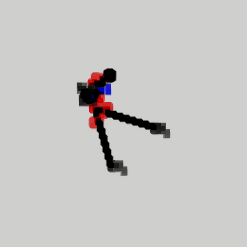 CCCCCCCCCCCCCCCC(=O)OCC(COC(=O)CCCCCCCCCCCCC)OC(=O)[C@@H]1C[C@@H]2CC=C[C@H]2N1C(=O)C(C)NC(CCc1ccccc1)C(=O)O